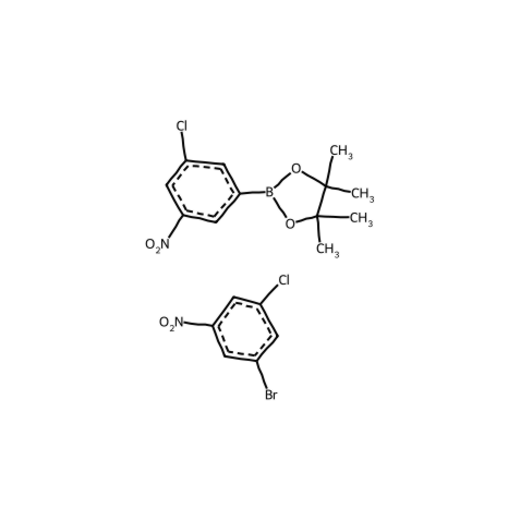 CC1(C)OB(c2cc(Cl)cc([N+](=O)[O-])c2)OC1(C)C.O=[N+]([O-])c1cc(Cl)cc(Br)c1